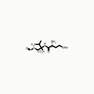 CSCC[C@@H](N)C(=O)NC(COP=O)(C(=O)O)C(C)N